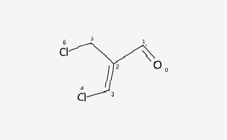 O=[C]C(=CCl)CCl